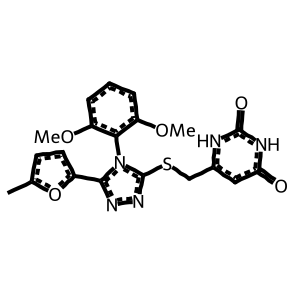 COc1cccc(OC)c1-n1c(SCc2cc(=O)[nH]c(=O)[nH]2)nnc1-c1ccc(C)o1